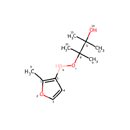 Cc1occc1BOC(C)(C)C(C)(C)O